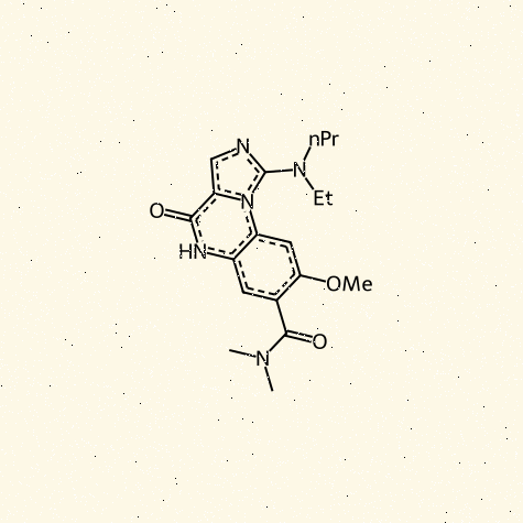 CCCN(CC)c1ncc2c(=O)[nH]c3cc(C(=O)N(C)C)c(OC)cc3n12